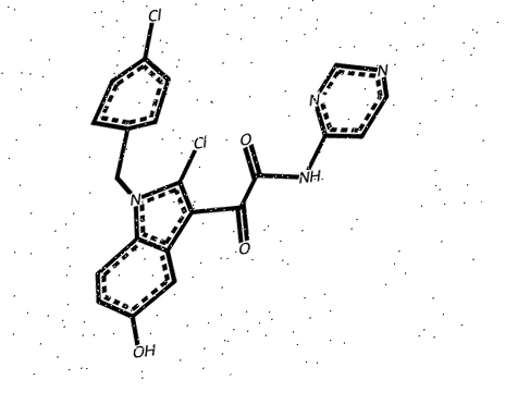 O=C(Nc1ccncn1)C(=O)c1c(Cl)n(Cc2ccc(Cl)cc2)c2ccc(O)cc12